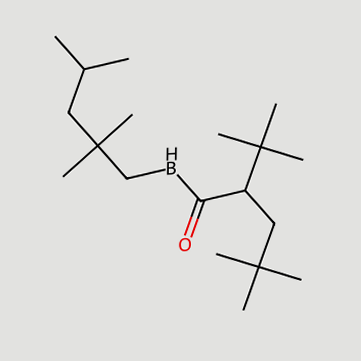 CC(C)CC(C)(C)CBC(=O)C(CC(C)(C)C)C(C)(C)C